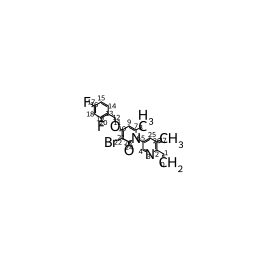 C=Cc1ncc(-n2c(C)cc(OCc3ccc(F)cc3F)c(Br)c2=O)cc1C